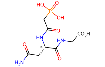 NC(=O)C[C@H](NC(=O)CP(=O)(O)O)C(=O)NCC(=O)O